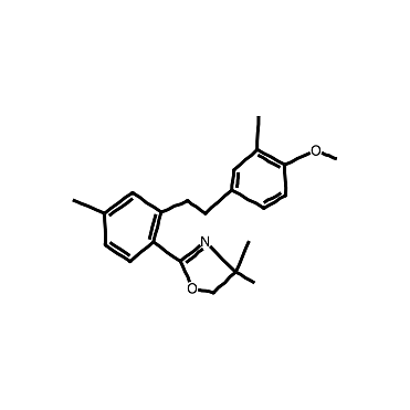 COc1ccc(CCc2cc(C)ccc2C2=NC(C)(C)CO2)cc1C